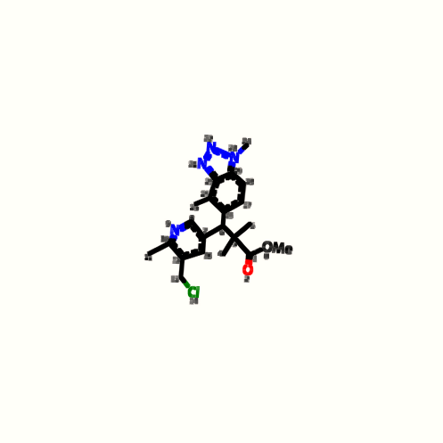 COC(=O)C(C)(C)C(c1cnc(C)c(CCl)c1)c1ccc2c(nnn2C)c1C